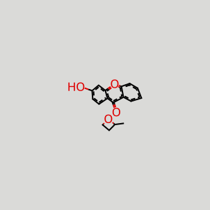 CC1CCO1.O=c1c2ccccc2oc2cc(O)ccc12